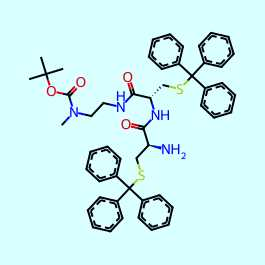 CN(CCNC(=O)[C@H](CSC(c1ccccc1)(c1ccccc1)c1ccccc1)NC(=O)[C@@H](N)CSC(c1ccccc1)(c1ccccc1)c1ccccc1)C(=O)OC(C)(C)C